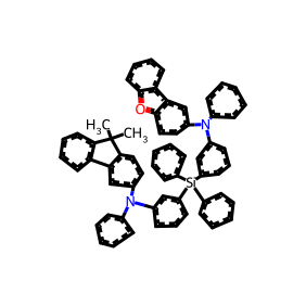 CC1(C)c2ccccc2-c2cc(N(c3ccccc3)c3cccc([Si](c4ccccc4)(c4ccccc4)c4cccc(N(c5ccccc5)c5ccc6oc7ccccc7c6c5)c4)c3)ccc21